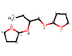 CCC(COC1CCCO1)OC1CCCO1